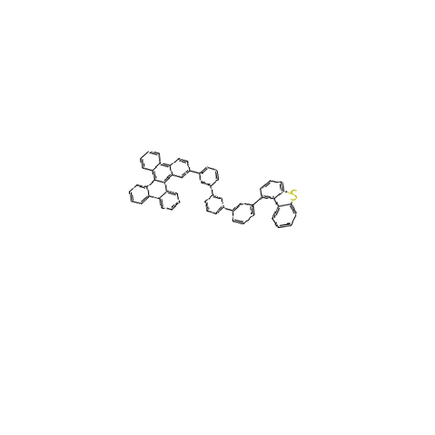 c1cc(-c2cccc(-c3ccc4c5ccccc5c5c6ccccc6c6ccccc6c5c4c3)c2)cc(-c2cccc(-c3cccc4sc5ccccc5c34)c2)c1